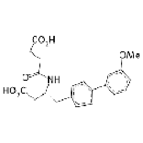 COc1cccc(-c2ccc(C[C@H](CC(=O)O)NC(=O)CCC(=O)O)cc2)c1